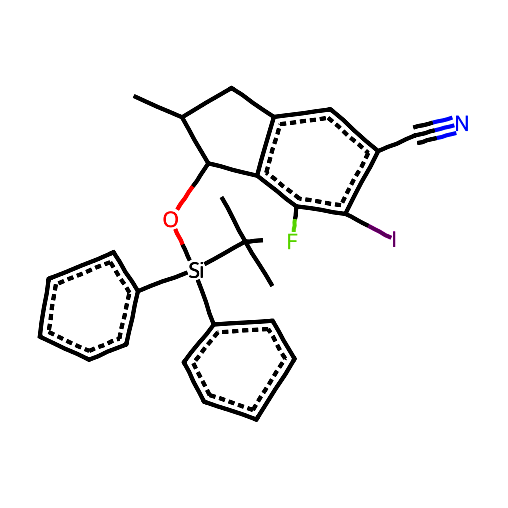 CC1Cc2cc(C#N)c(I)c(F)c2C1O[Si](c1ccccc1)(c1ccccc1)C(C)(C)C